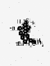 CC(C)(C)c1ccc(N(c2ccc([Si](C)(C)C)cc2)c2ccc3c(c2)C(c2ccccc2)(c2ccccc2)c2cc(N(c4ccc(C(C)(C)C)cc4)c4ccc([Si](C)(C)C)cc4)c4c(oc5ccncc54)c2-3)cc1